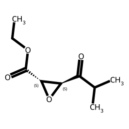 CCOC(=O)[C@H]1O[C@@H]1C(=O)C(C)C